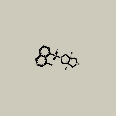 O=S(=O)(c1cccc2cncc(Cl)c12)N1C[C@H]2CNC[C@H]2C1